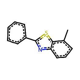 Cc1cccc2nc(-c3ccccc3)sc12